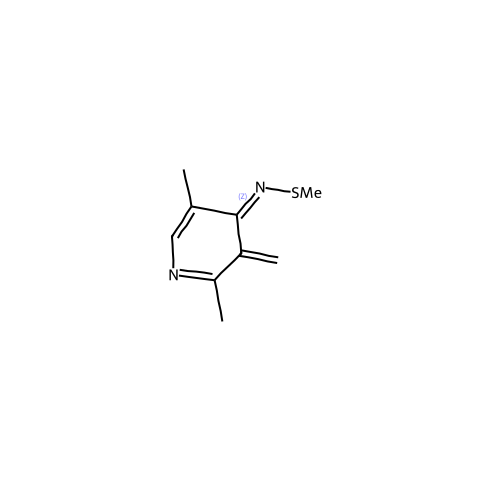 C=C1C(C)=NC=C(C)/C1=N/SC